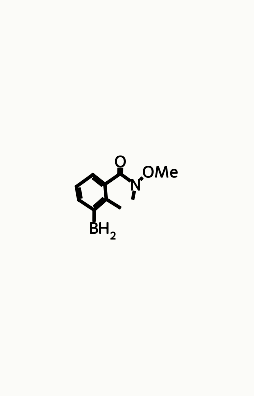 Bc1cccc(C(=O)N(C)OC)c1C